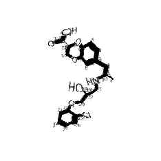 C[C@H](Cc1ccc2c(c1)OC[C@H](C(=O)O)O2)NC[C@H](O)COc1ccccc1Cl